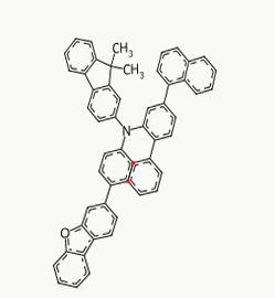 CC1(C)c2ccccc2-c2ccc(N(c3ccc(-c4ccc5c(c4)oc4ccccc45)cc3)c3cc(-c4cccc5ccccc45)ccc3-c3ccccc3)cc21